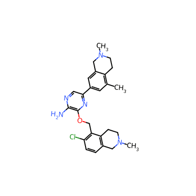 Cc1cc(-c2cnc(N)c(OCc3c(Cl)ccc4c3CCN(C)C4)n2)cc2c1CCN(C)C2